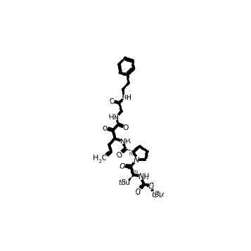 C=CCC(NC(=O)[C@@H]1CCCN1C(=O)[C@@H](NC(=O)OC(C)(C)C)C(C)(C)C)C(=O)C(=O)NCC(=O)NCCc1ccccc1